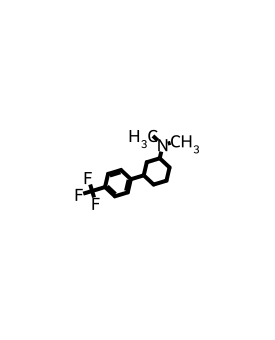 CN(C)C1CCCC(c2ccc(C(F)(F)F)cc2)C1